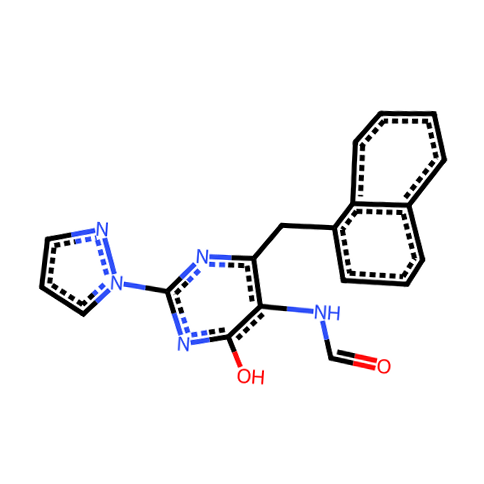 O=CNc1c(O)nc(-n2cccn2)nc1Cc1cccc2ccccc12